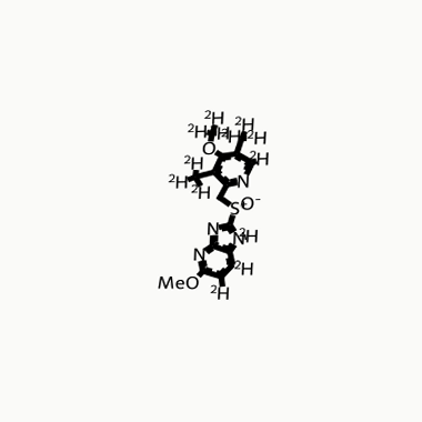 [2H]c1nc(C[S+]([O-])c2nc3nc(OC)c([2H])c([2H])c3n2[2H])c(C([2H])([2H])[2H])c(OC([2H])([2H])[2H])c1C([2H])([2H])[2H]